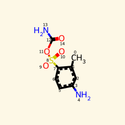 Cc1cc(N)ccc1S(=O)(=O)OC(N)=O